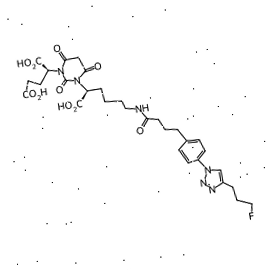 O=C(O)CC[C@@H](C(=O)O)N1C(=O)CC(=O)N([C@@H](CCCCNC(=O)CCCc2ccc(-n3cc(CCCF)nn3)cc2)C(=O)O)C1=O